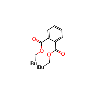 CCC(C)COC(=O)c1ccccc1C(=O)OCC(C)CC